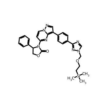 C[Si](C)(C)CCOCn1cnc(-c2ccc(-c3cnn4ccc(N5C(=O)OCC5c5ccccc5)nc34)cc2)n1